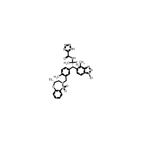 CC[C@@H]1CN(Cc2cc([C@@H](c3ccc4c(nnn4CC)c3C)C(C)(C)NC(=O)c3nnn[nH]3)ccc2C)S(=O)(=O)c2ccccc2O1